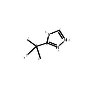 CC(C)(I)c1nncs1